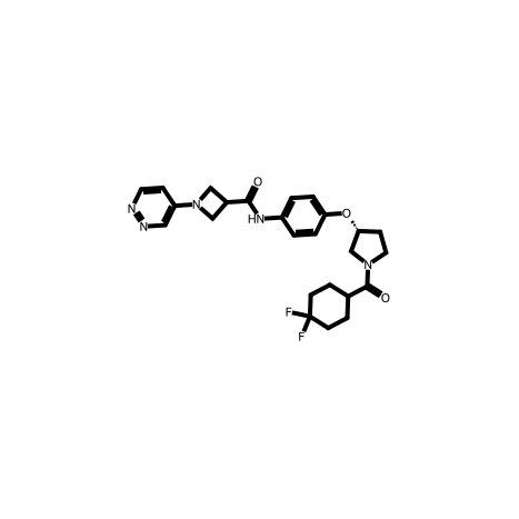 O=C(Nc1ccc(O[C@@H]2CCN(C(=O)C3CCC(F)(F)CC3)C2)cc1)C1CN(c2ccnnc2)C1